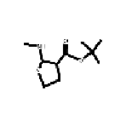 CNC1[N]CCC1C(=O)OC(C)(C)C